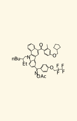 CCCCC(CC)Cn1c2ccc(/C(=N/OC(C)=O)c3ccc(OCC(F)(F)C(F)F)cc3)cc2c2cc(C(=O)c3ccc(OCC4CCCC4)cc3C)c3ccccc3c21